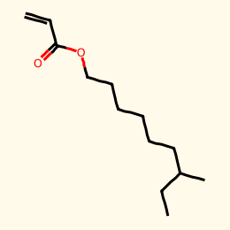 C=CC(=O)OCCCCCCC(C)CC